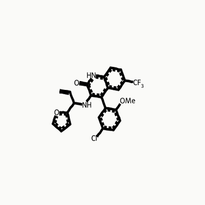 C=CC(Nc1c(-c2cc(Cl)ccc2OC)c2cc(C(F)(F)F)ccc2[nH]c1=O)c1ccco1